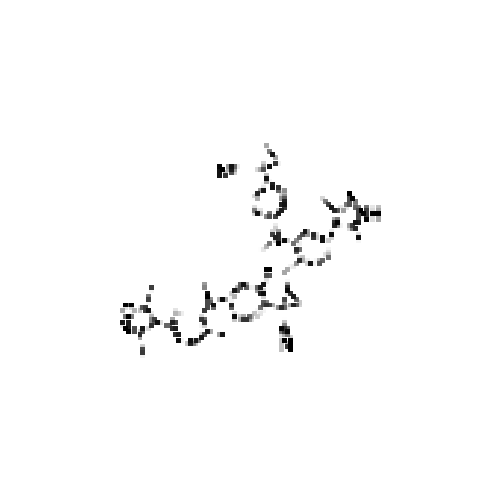 Cc1ccc(-c2c(C)noc2C)cc1N(C)c1ccc(C2(C#N)CC2Cc2ccc(-c3c(C)n[nH]c3C)cc2N(C)c2ccc(C3(C#N)CC3)cc2)c(F)c1